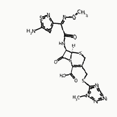 CO/N=C(\C(=O)N[C@@H]1C(=O)N2C(C(=O)O)=C(CSc3nnnn3C)CS[C@H]12)c1cc(N)sn1